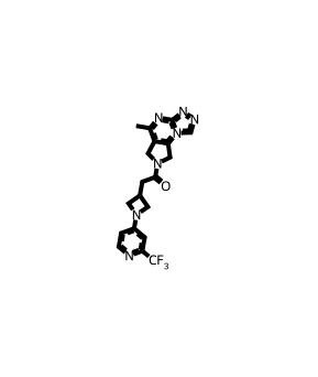 Cc1nc2nncn2c2c1CN(C(=O)CC1CN(c3ccnc(C(F)(F)F)c3)C1)C2